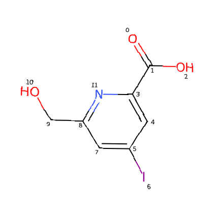 O=C(O)c1cc(I)cc(CO)n1